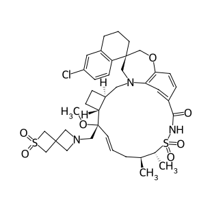 CO[C@@]1(CN2CC3(C2)CS(=O)(=O)C3)/C=C/C[C@H](C)[C@@H](C)S(=O)(=O)NC(=O)c2ccc3c(c2)N(C[C@@H]2CC[C@H]21)C[C@@]1(CCCc2cc(Cl)ccc21)CO3